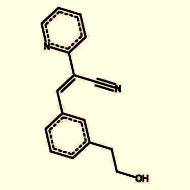 N#CC(=Cc1cccc(CCO)c1)c1ccccn1